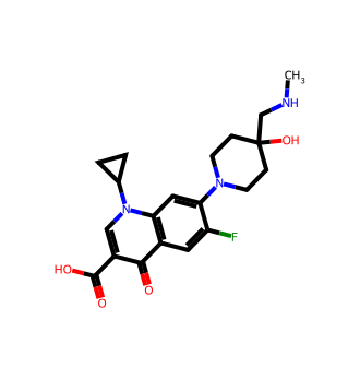 CNCC1(O)CCN(c2cc3c(cc2F)c(=O)c(C(=O)O)cn3C2CC2)CC1